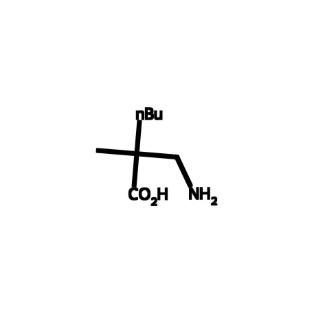 CCCCC(C)(CN)C(=O)O